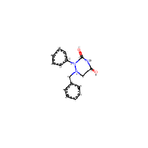 O=C1CN(Cc2ccccc2)N(c2ccccc2)C(=O)[N]1